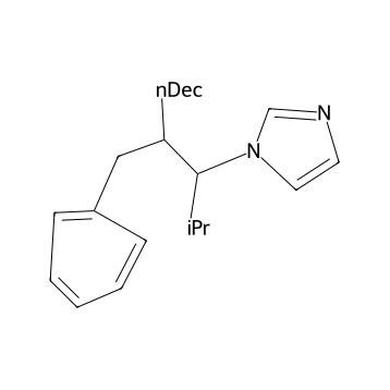 CCCCCCCCCCC(Cc1ccccc1)C(C(C)C)n1ccnc1